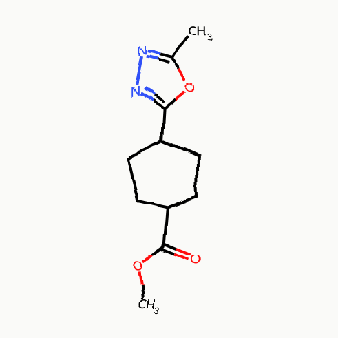 COC(=O)C1CCC(c2nnc(C)o2)CC1